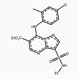 CCNS(=O)(=O)c1cnn2c(Nc3ccc(Cl)cc3C)c(C(=O)OCC)cnc12